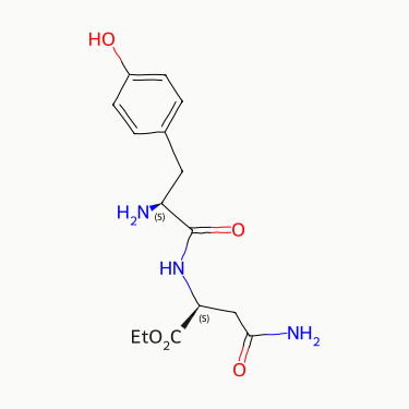 CCOC(=O)[C@H](CC(N)=O)NC(=O)[C@@H](N)Cc1ccc(O)cc1